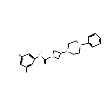 O=C(Nc1cc(C(F)(F)F)cc(C(F)(F)F)c1)N1CC(N2CCN(c3ccccc3)CC2)C1